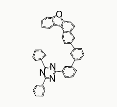 c1ccc(-c2nc(-c3ccccc3)nc(-c3cccc(-c4cccc(-c5ccc6c(ccc7oc8ccccc8c76)c5)c4)c3)n2)cc1